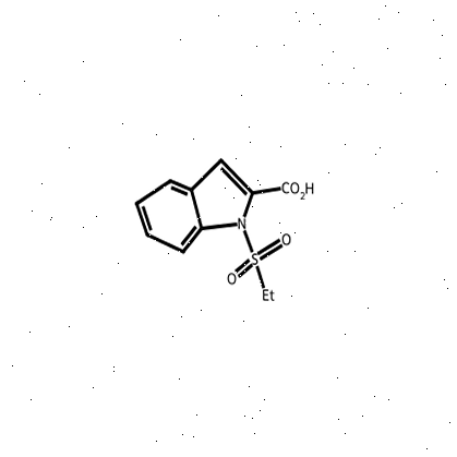 CCS(=O)(=O)n1c(C(=O)O)cc2ccccc21